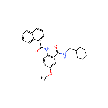 COc1ccc(NC(=O)c2cccc3ccccc23)c(C(=O)NCC2CCCCC2)c1